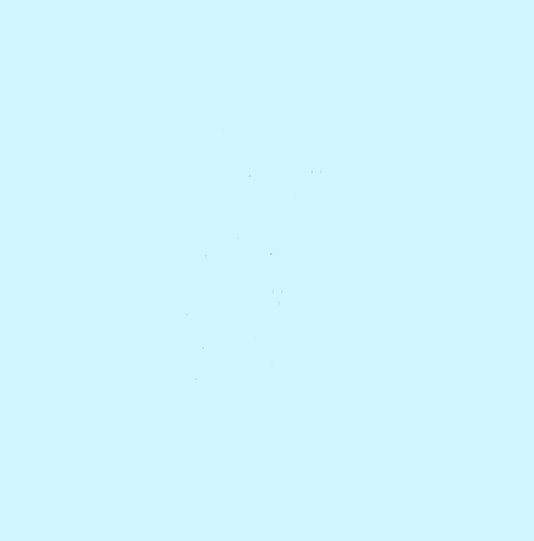 COc1ccc(/C=C2/Cc3ccccc3C2=O)cc1OC